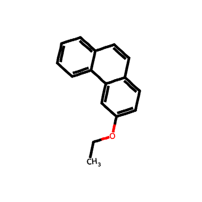 CCOc1ccc2ccc3ccccc3c2c1